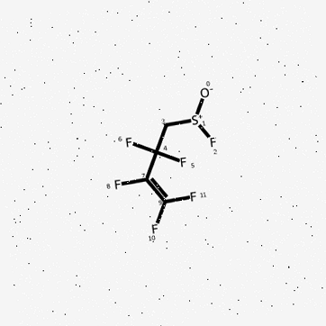 [O-][S+](F)CC(F)(F)C(F)=C(F)F